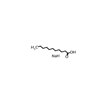 CCCCCCCCCCC(=O)O.[NaH]